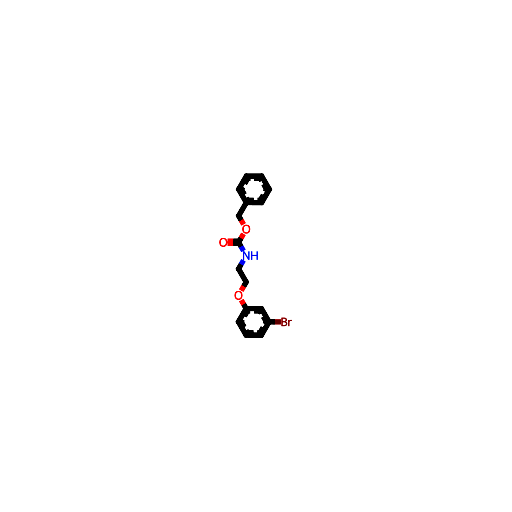 O=C(NCCOc1cccc(Br)c1)OCc1ccccc1